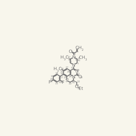 C=CC(=O)N1[C@H](C)CN(c2nc(=O)n3c4c(c(-c5ccc(F)cc5F)c(C)cc24)SC[C@@H]3COCC)C[C@@H]1C